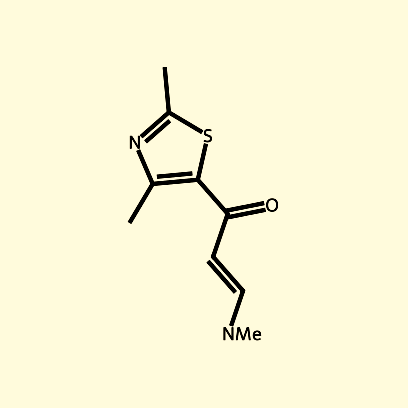 CNC=CC(=O)c1sc(C)nc1C